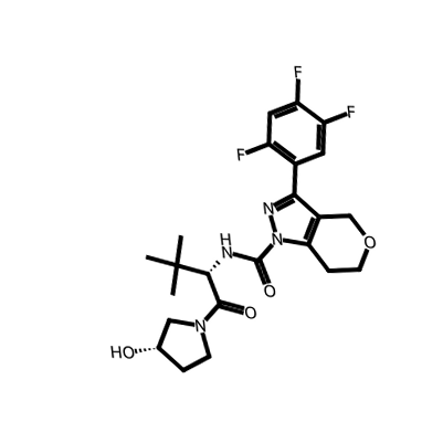 CC(C)(C)[C@H](NC(=O)n1nc(-c2cc(F)c(F)cc2F)c2c1CCOC2)C(=O)N1CC[C@H](O)C1